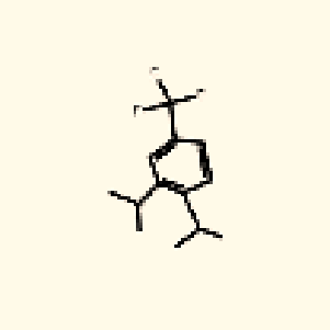 C[C](C)c1cc(C(F)(F)F)ccc1C(C)C